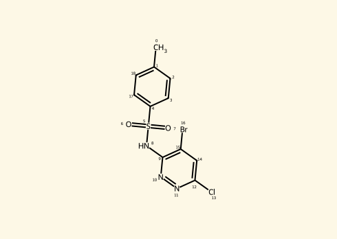 Cc1ccc(S(=O)(=O)Nc2nnc(Cl)cc2Br)cc1